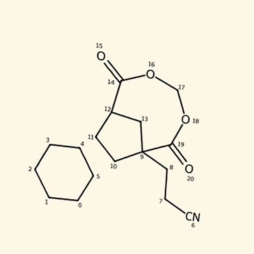 C1CCCCC1.N#CCCC12CCC(C1)C(=O)OCOC2=O